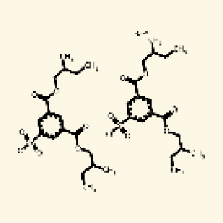 CCC(C)COC(=O)c1cc(C(=O)OCC(C)CC)cc(S(=O)(=O)[O-])c1.CCC(C)COC(=O)c1cc(C(=O)OCC(C)CC)cc(S(=O)(=O)[O-])c1.[Ba+2]